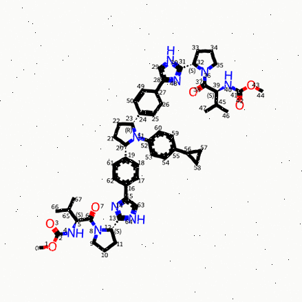 COC(=O)N[C@H](C(=O)N1CCC[C@H]1c1nc(-c2ccc([C@@H]3CC[C@H](C4=CCC(c5c[nH]c([C@@H]6CCCN6C(=O)[C@@H](NC(=O)OC)C(C)C)n5)C=C4)N3c3ccc(C4CC4)cc3)cc2)c[nH]1)C(C)C